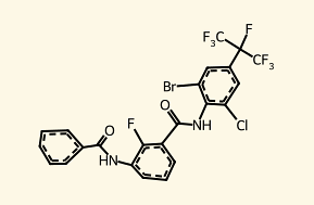 O=C(Nc1cccc(C(=O)Nc2c(Cl)cc(C(F)(C(F)(F)F)C(F)(F)F)cc2Br)c1F)c1ccccc1